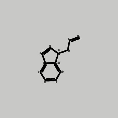 C=CCn1ccc2ccccc21